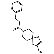 CC(C)(C)C1=NOC2(CCN(C(=O)CCc3ccccc3)CC2)C1